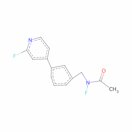 CC(=O)N(F)Cc1cccc(-c2ccnc(F)c2)c1